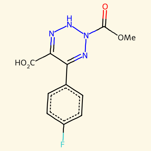 COC(=O)N1N=C(c2ccc(F)cc2)C(C(=O)O)=NN1